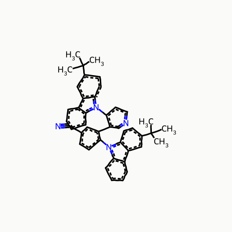 CC(C)(C)c1ccc2c(c1)c1ccccc1n2-c1ccncc1-c1cc(C#N)ccc1-n1c2ccccc2c2cc(C(C)(C)C)ccc21